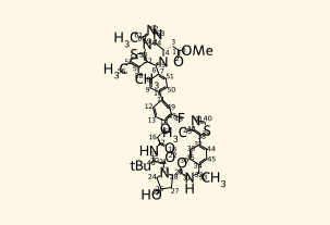 COC(=O)C[C@@H]1N=C(c2ccc(-c3ccc(OCC(=O)N[C@H](C(=O)N4C[C@H](O)C[C@H]4C(=O)N[C@@H](C)c4ccc(-c5scnc5C)cc4)C(C)(C)C)c(F)c3)cc2)c2c(sc(C)c2C)-n2c(C)nnc21